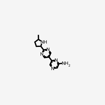 CC1CCC(c2ncc(-c3cncc(N)n3)cn2)N1